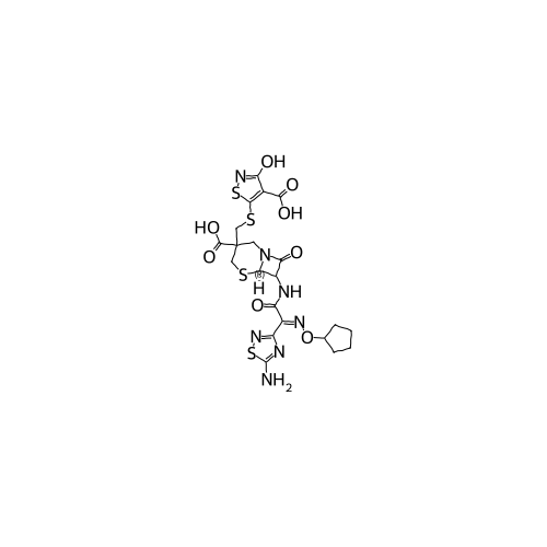 Nc1nc(C(=NOC2CCCC2)C(=O)NC2C(=O)N3CC(CSc4snc(O)c4C(=O)O)(C(=O)O)CS[C@H]23)ns1